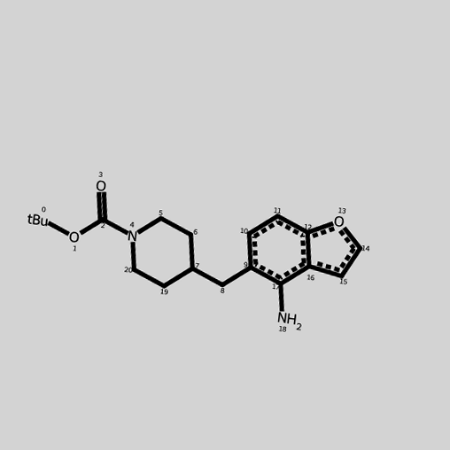 CC(C)(C)OC(=O)N1CCC(Cc2ccc3occc3c2N)CC1